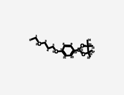 CCOCCCOc1ccc(B2OC(C)(C)C(C)(C)O2)cc1